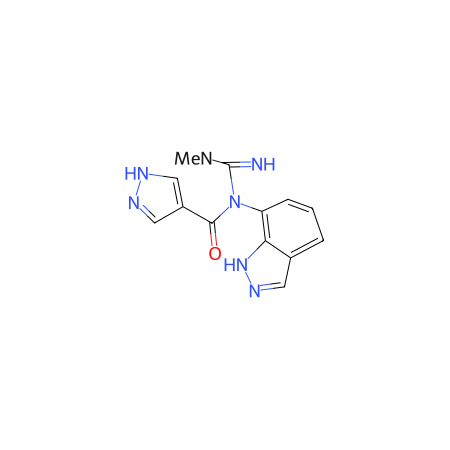 CNC(=N)N(C(=O)c1cn[nH]c1)c1cccc2cn[nH]c12